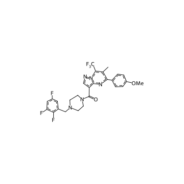 COc1ccc(-c2nc3c(C(=O)N4CCN(Cc5cc(F)cc(F)c5F)CC4)cnn3c(C(F)(F)F)c2C)cc1